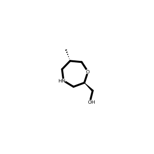 C[C@H]1CNC[C@H](CO)OC1